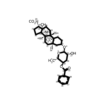 C[C@@H]1O[C@@H](O[C@H]2CC[C@@]3(C)[C@H](CC[C@@H]4[C@@H]3CC[C@]3(C)[C@@H](C(=O)O)CC[C@]43N)C2)[C@H](O)C[C@H]1OC(=O)c1ccccc1